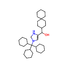 OC(C1=CN(C(C2CCCCC2)(C2CCCCC2)C2CCCCC2)CN1)C1CCC2(CCCCC2)CC1